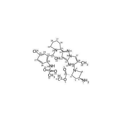 COC(=O)[C@H]1C[C@H](N)CN1c1nc2cc([C@@H]3CCCCN3C(O)c3cc(Cl)ccc3NS(C)(=O)=O)nn2cc1C